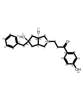 O=C(CCN1CC2C[C@](O)(Cc3ccccc3)C[C@H]2C1)c1ccc(O)cc1